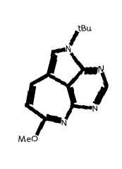 COC1=Nc2ncnc3c2c(cn3C(C)(C)C)C=C1